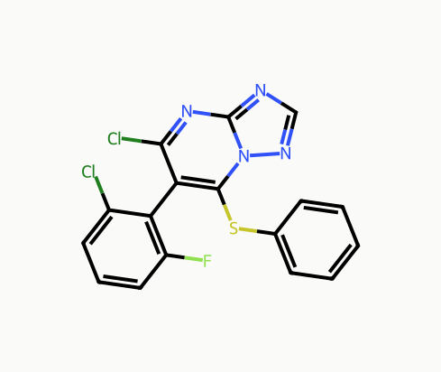 Fc1cccc(Cl)c1-c1c(Cl)nc2ncnn2c1Sc1ccccc1